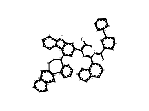 CC/C(C)=C(/N=C(\N=C(/C)c1cccc(-c2ccccc2)c1)c1cccc2ccccc12)c1cc(C2CCc3cc4ccccc4cc3-c3ccccc32)c2c(c1)sc1ccccc12